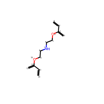 C=CC(=C)OCCNCCOC(=C)C=C